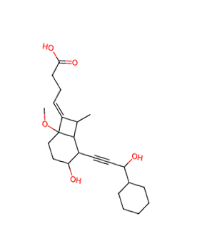 COC12CCC(O)C(C#CC(O)C3CCCCC3)C1C(C)C2=CCCC(=O)O